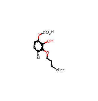 CCCCCCCCCCCCCOc1c(CC)ccc(OC(=O)O)c1O